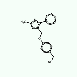 Cc1cc(COc2ccc(CC#N)cc2)n(-c2ccccc2)n1